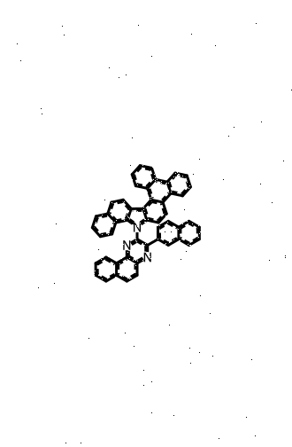 c1ccc2cc(-c3nc4ccc5ccccc5c4nc3-n3c4ccc5c6ccccc6c6ccccc6c5c4c4ccc5ccccc5c43)ccc2c1